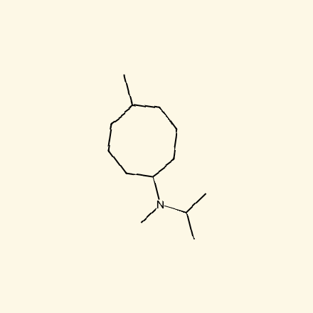 CC1CCCC(N(C)C(C)C)CCC1